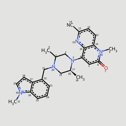 CC1CN(c2cc(=O)n(C)c3ccc(C#N)nc23)[C@@H](C)CN1Cc1cccc2c1ccn2C